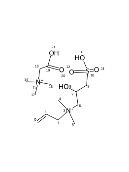 C=CC[N+](C)(C)CC(O)CS(=O)(=O)O.C[N+](C)(C)CC(=O)O